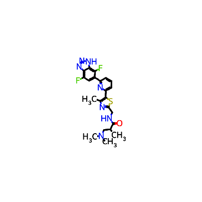 Cc1nc(CNC(=O)C(C)CN(C)C)sc1-c1cccc(-c2cc(F)c3nn[nH]c3c2F)n1